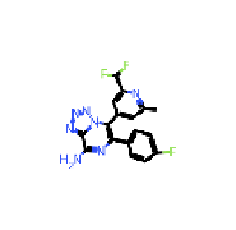 Cc1cc(-c2c(-c3ccc(F)cc3)nc(N)c3nnnn23)cc(C(F)F)n1